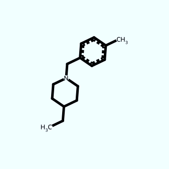 CCC1CCN(Cc2ccc(C)cc2)CC1